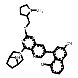 CN1CCCC1COc1nc(N2CC3CCC(C2)N3)c2ncc(-c3cc(O)cc4cccc(Cl)c34)cc2n1